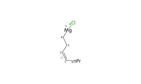 CCC/C=C\C[CH2][Mg][Cl]